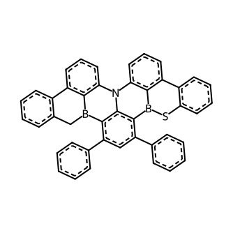 c1ccc(-c2cc(-c3ccccc3)c3c4c2B2Cc5ccccc5-c5cccc(c52)N4c2cccc4c2B3Sc2ccccc2-4)cc1